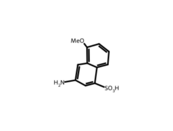 COc1cccc2c(S(=O)(=O)O)cc(N)cc12